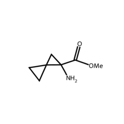 COC(=O)C1(N)CC12CC2